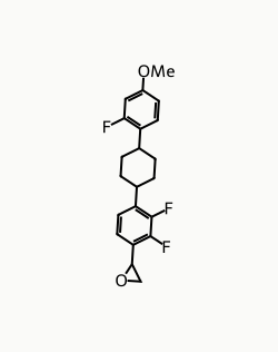 COc1ccc(C2CCC(c3ccc(C4CO4)c(F)c3F)CC2)c(F)c1